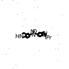 CC(C)n1ncc2cc(-c3nc(-c4ccc5c(c4)CCNC5)no3)ccc21